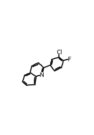 Fc1ccc(-c2ccc3ccccc3n2)cc1Cl